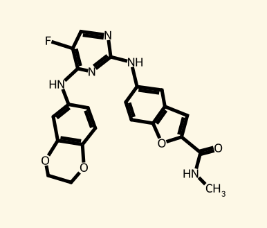 CNC(=O)c1cc2cc(Nc3ncc(F)c(Nc4ccc5c(c4)OCCO5)n3)ccc2o1